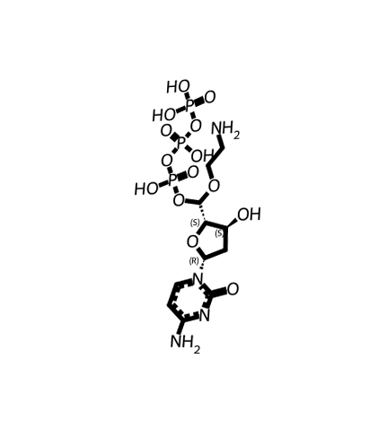 NCCOC(OP(=O)(O)OP(=O)(O)OP(=O)(O)O)[C@H]1O[C@@H](n2ccc(N)nc2=O)C[C@@H]1O